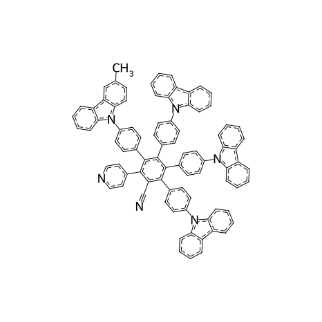 Cc1ccc2c(c1)c1ccccc1n2-c1ccc(-c2c(-c3ccncc3)c(C#N)c(-c3ccc(-n4c5ccccc5c5ccccc54)cc3)c(-c3ccc(-n4c5ccccc5c5ccccc54)cc3)c2-c2ccc(-n3c4ccccc4c4ccccc43)cc2)cc1